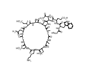 CCCCCCCCCC(=O)NC(Cc1c[nH]c2ccccc12)C(=O)NC(CCC(=O)O)C(=O)NC(C(=O)NC1C(=O)N(C)CC(=O)NC(C)C(=O)NC(CC(=O)O)C(=O)NC(CCCCN)C(=O)NC(CC(=O)O)C(=O)NCC(=O)NC(CC(N)=O)C(=O)NC(C(C)CC(=O)O)C(=O)NC(C(C)CC)C(=O)OC1C)C(O)C(N)=O